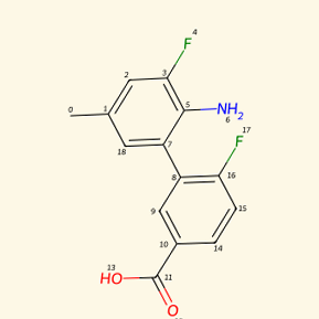 Cc1cc(F)c(N)c(-c2cc(C(=O)O)ccc2F)c1